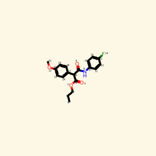 CCCOC(=O)C(C(=O)Nc1ccc(F)cc1)c1ccc(OC)cc1